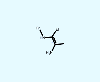 CC/C(NC(C)C)=C(\C)N